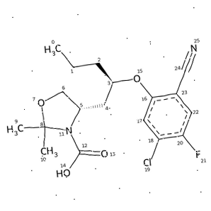 CCC[C@H](C[C@H]1COC(C)(C)N1C(=O)O)Oc1cc(Cl)c(F)cc1C#N